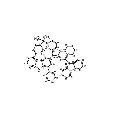 CC1(C)c2ccccc2-c2c1ccc1c3c4c(c(-n5c6ccccc6c6ccccc65)cc3n(-c3nc(-c5ccccc5)c5sc6ccccc6c5n3)c21)CCC=C4